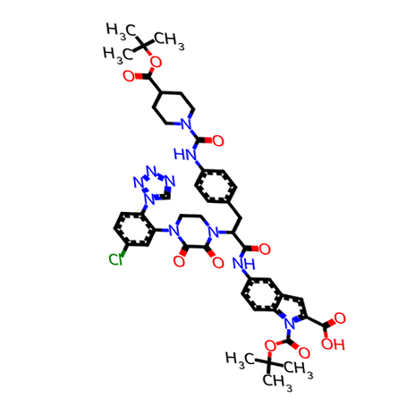 CC(C)(C)OC(=O)C1CCN(C(=O)Nc2ccc(CC(C(=O)Nc3ccc4c(c3)cc(C(=O)O)n4C(=O)OC(C)(C)C)N3CCN(c4cc(Cl)ccc4-n4cnnn4)C(=O)C3=O)cc2)CC1